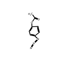 CC(=O)Oc1ccc(N=[N+]=[N-])cc1